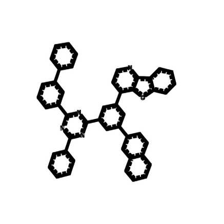 c1ccc(-c2cccc(-c3nc(-c4ccccc4)nc(-c4cc(-c5ccc6ccccc6c5)cc(-c5ccnc6c5oc5ccccc56)c4)n3)c2)cc1